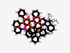 CC1C=Cc2oc3c(-c4ccccc4)ccc(N(c4ccccc4-c4ccc5c(c4)C(C)(C)c4ccccc4-5)c4cccc5c4Sc4c(N(c6ccccc6)c6cc(-c7ccccc7)c7oc8ccccc8c7c6)cccc4C54c5ccccc5-c5cc(Cl)ccc54)c3c2C1